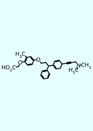 Cc1cc(OCCC(C2=CCC(C#CCN(C)C)C=C2)c2ccccc2)ccc1OCC(=O)O